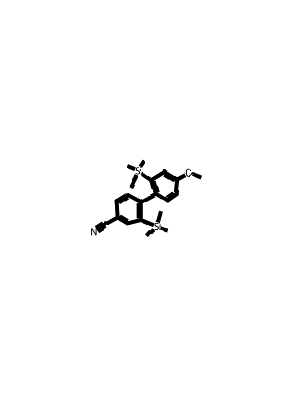 COc1ccc(-c2ccc(C#N)cc2[Si](C)(C)C)c([Si](C)(C)C)c1